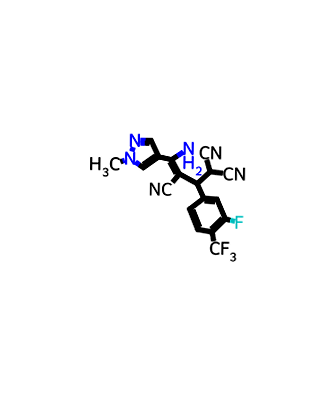 Cn1cc(/C(N)=C(\C#N)C(c2ccc(C(F)(F)F)c(F)c2)C(C#N)C#N)cn1